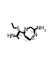 CCSC(=C(/C)NC)/C1=N/C/C(N)=N\C/C=C\1